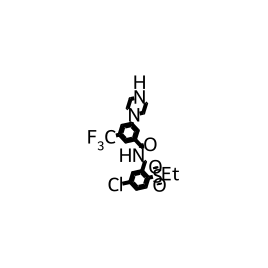 CCS(=O)(=O)c1ccc(Cl)cc1CNC(=O)c1cc(N2CCNCC2)cc(C(F)(F)F)c1